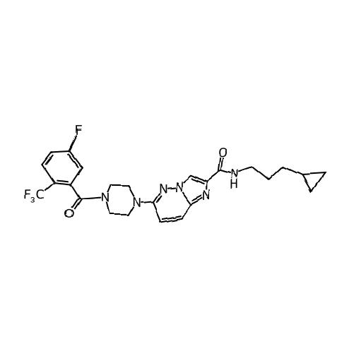 O=C(NCCCC1CC1)c1cn2nc(N3CCN(C(=O)c4cc(F)ccc4C(F)(F)F)CC3)ccc2n1